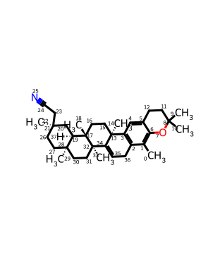 Cc1c2c(cc3c1OC(C)(C)CC3)[C@]1(C)CC[C@@]3(C)[C@@H]4C[C@](C)(CC#N)CC[C@]4(C)CC[C@]3(C)C1=CC2